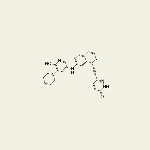 CN1CCN(c2cc(Nc3cc4c(C#Cc5ccc(=O)[nH]n5)nccc4cn3)cnc2O)CC1